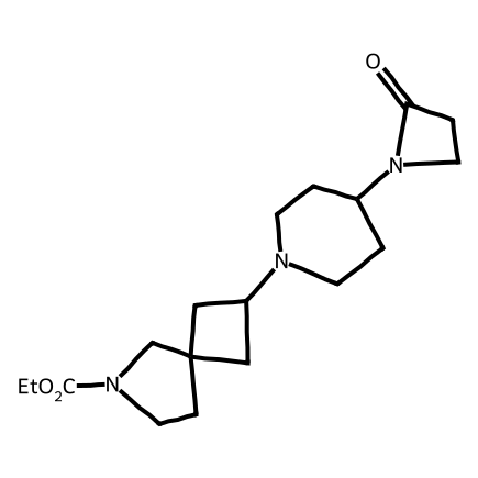 CCOC(=O)N1CCC2(CC(N3CCC(N4CCC4=O)CC3)C2)C1